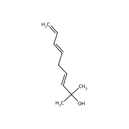 C=CC=CCC=CC(C)(C)O